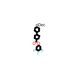 CCCCCCCCCCc1ccc(-c2ccc(C(=O)Oc3cc(F)c(F)c(F)c3)cc2)cc1